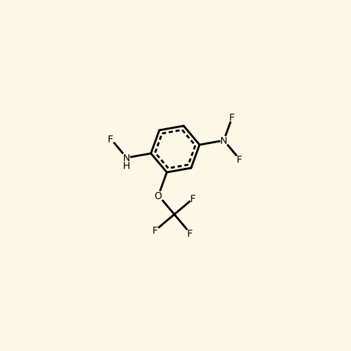 FNc1ccc(N(F)F)cc1OC(F)(F)F